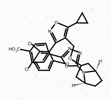 O=C(O)c1ccc(-c2nnc(N3[C@@H]4CC[C@H]3CC(OCc3c(-c5c(Cl)cccc5Cl)noc3C3CC3)C4)o2)cc1Cl